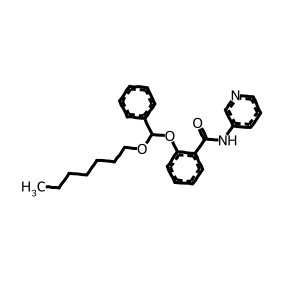 CCCCCCCOC(Oc1ccccc1C(=O)Nc1cccnc1)c1ccccc1